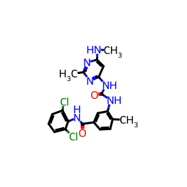 CNc1cc(NC(=O)Nc2cc(C(=O)Nc3c(Cl)cccc3Cl)ccc2C)nc(C)n1